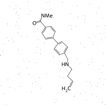 C=CCCNCc1ccc(-c2ccc(C(=O)NC)cc2)cc1